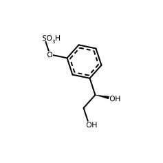 O=S(=O)(O)Oc1cccc([C@@H](O)CO)c1